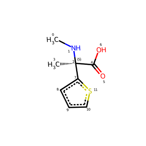 CN[C@@](C)(C(=O)O)c1cccs1